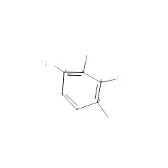 Cc1ccc(C#N)c(Cl)c1F